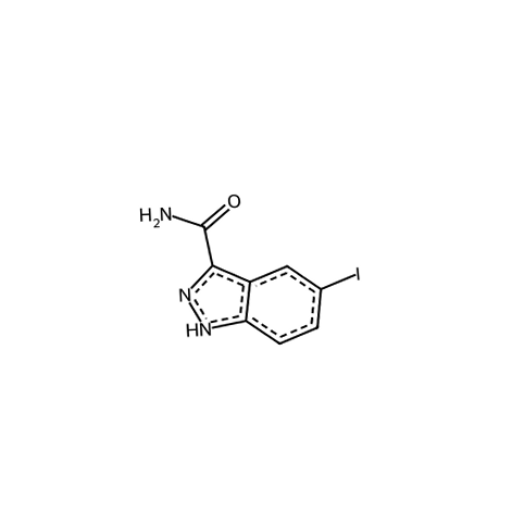 NC(=O)c1n[nH]c2ccc(I)cc12